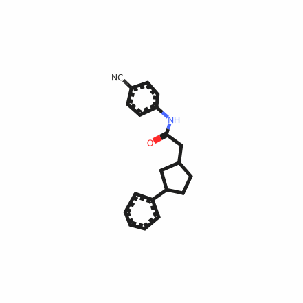 N#Cc1ccc(NC(=O)CC2CCC(c3ccccc3)C2)cc1